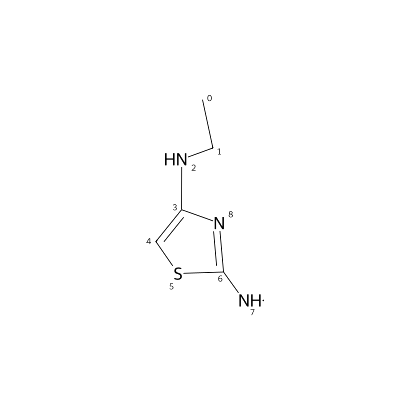 CCNc1csc([NH])n1